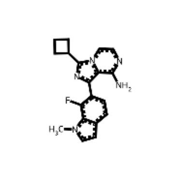 Cn1ccc2ccc(-c3nc(C4CCC4)n4ccnc(N)c34)c(F)c21